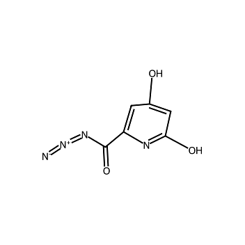 [N-]=[N+]=NC(=O)c1cc(O)cc(O)n1